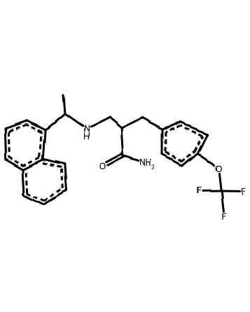 CC(NCC(Cc1ccc(OC(F)(F)F)cc1)C(N)=O)c1cccc2ccccc12